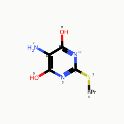 CCCSc1nc(O)c(N)c(O)n1